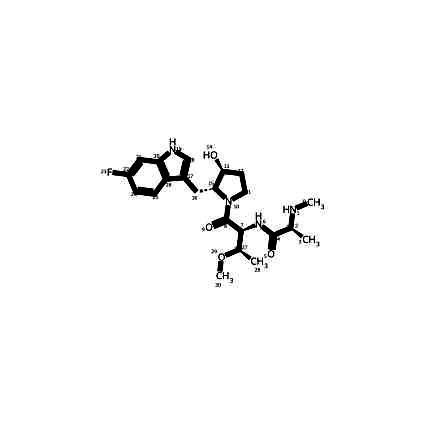 CN[C@@H](C)C(=O)N[C@H](C(=O)N1CC[C@H](O)[C@H]1Cc1c[nH]c2cc(F)ccc12)[C@@H](C)OC